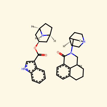 CN1[C@@H]2CC[C@H]1C[C@@H](OC(=O)c1c[nH]c3ccccc13)C2.O=C1c2cccc3c2[C@H](CCC3)CN1[C@@H]1CN2CCC1CC2